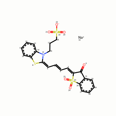 O=C1/C(=C/C=C/C=C2/Sc3ccccc3N2CCCS(=O)(=O)[O-])S(=O)(=O)c2ccccc21.[Na+]